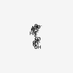 O=C(O)CC1CC(=O)N(CCCCNc2ccc([N+](=O)[O-])c3c2=NCN=3)C1=O